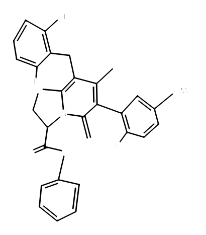 COc1ccc(F)c(-c2c(C)c(Cc3c(F)cccc3C(F)(F)F)c3n(c2=O)C(C(=O)Sc2ccccc2)CS3)c1